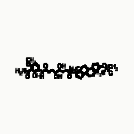 COc1ccc(NC(=O)CCC(O)C(O)CCC(=O)OC2CCC3C4CCc5cc(OP(C)(C)=O)ccc5C4CCC23C)c(O)c1C(N)=O